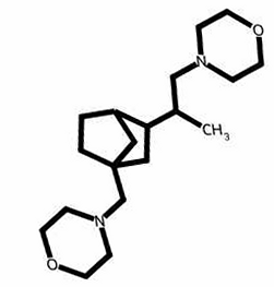 CC(CN1CCOCC1)C1CC2(CN3CCOCC3)CCC1C2